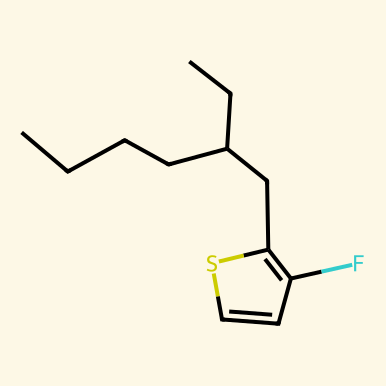 CCCCC(CC)Cc1sccc1F